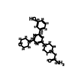 NC(=O)CN1CCN(c2cc(-c3cccc(O)c3)nc(N3CCOCC3)n2)CC1